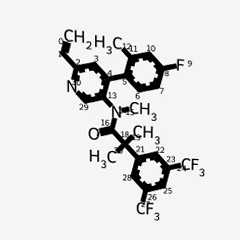 C=Cc1cc(-c2ccc(F)cc2C)c(N(C)C(=O)C(C)(C)c2cc(C(F)(F)F)cc(C(F)(F)F)c2)cn1